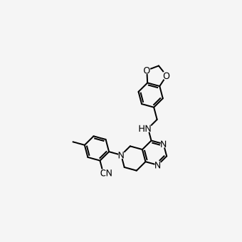 Cc1ccc(N2CCc3ncnc(NCc4ccc5c(c4)OCO5)c3C2)c(C#N)c1